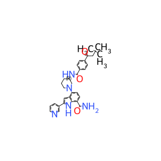 CC(C)(C)CC(=O)c1ccc(C(=O)N[C@@H]2CCCN(c3ccc(C(N)=O)c4[nH]c(-c5cccnc5)cc34)C2)cc1